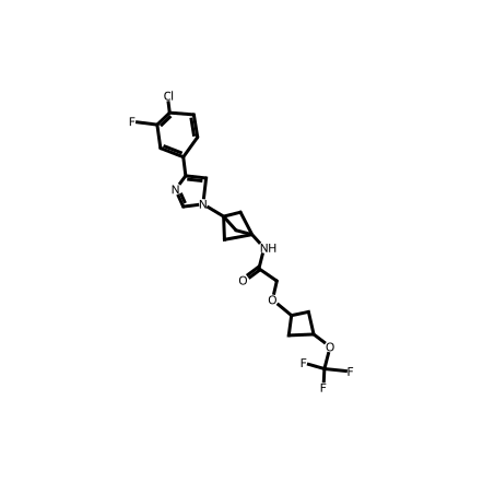 O=C(COC1CC(OC(F)(F)F)C1)NC12CC(n3cnc(-c4ccc(Cl)c(F)c4)c3)(C1)C2